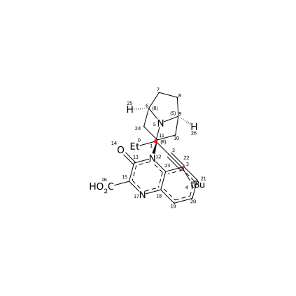 CCC(C#CC(C)(C)C)N1[C@@H]2CC[C@H]1C[C@@H](n1c(=O)c(C(=O)O)nc3ccccc31)C2